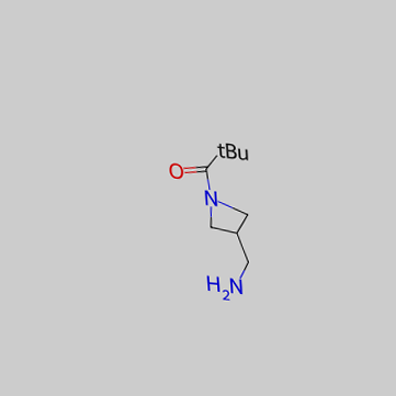 CC(C)(C)C(=O)N1CC(CN)C1